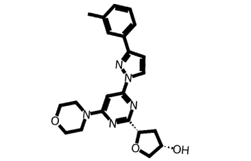 Cc1cccc(-c2ccn(-c3cc(N4CCOCC4)nc([C@@H]4C[C@H](O)CO4)n3)n2)c1